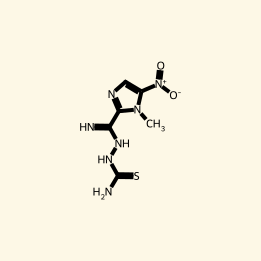 Cn1c([N+](=O)[O-])cnc1C(=N)NNC(N)=S